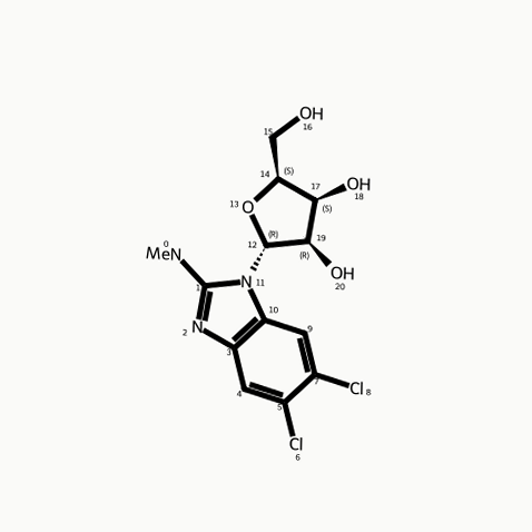 CNc1nc2cc(Cl)c(Cl)cc2n1[C@@H]1O[C@@H](CO)[C@@H](O)[C@H]1O